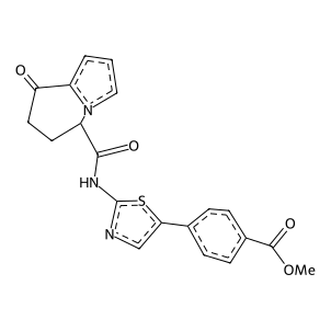 COC(=O)c1ccc(-c2cnc(NC(=O)C3CCC(=O)c4cccn43)s2)cc1